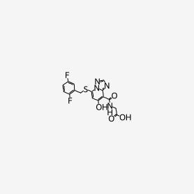 O=C(O)CNC(=O)c1c(O)cc(SCc2cc(F)ccc2F)n2ncnc12